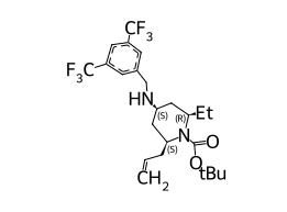 C=CC[C@H]1C[C@@H](NCc2cc(C(F)(F)F)cc(C(F)(F)F)c2)C[C@@H](CC)N1C(=O)OC(C)(C)C